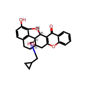 O=c1c2c(oc3ccccc13)C[C@@]1(O)C3Cc4ccc(O)c5c4[C@@]1(CCN3CC1CC1)[C@H]2O5